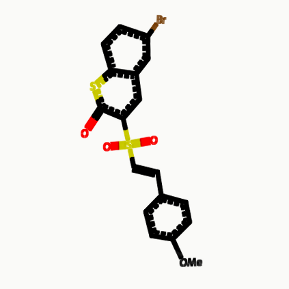 COc1ccc(/C=C/S(=O)(=O)c2cc3cc(Br)ccc3sc2=O)cc1